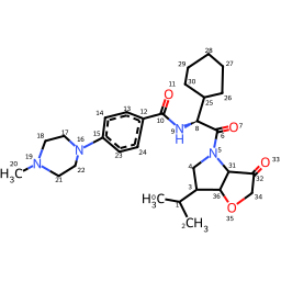 CC(C)C1CN(C(=O)[C@@H](NC(=O)c2ccc(N3CCN(C)CC3)cc2)C2CCCCC2)C2C(=O)COC12